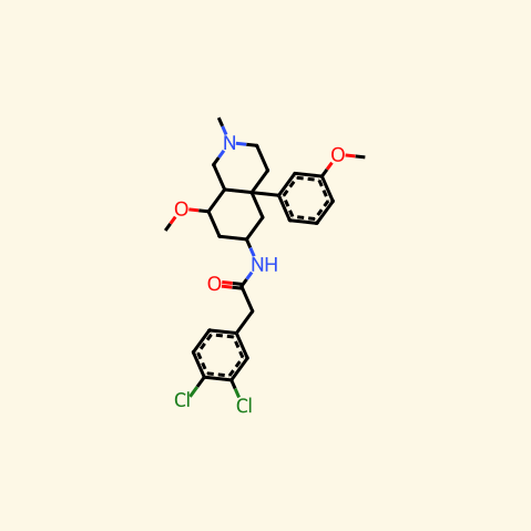 COc1cccc(C23CCN(C)CC2C(OC)CC(NC(=O)Cc2ccc(Cl)c(Cl)c2)C3)c1